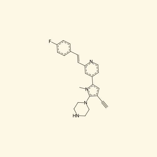 C#Cc1cc(-c2ccnc(/C=C/c3ccc(F)cc3)c2)n(C)c1N1CCNCC1